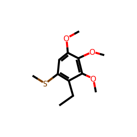 CCc1c(SC)cc(OC)c(OC)c1OC